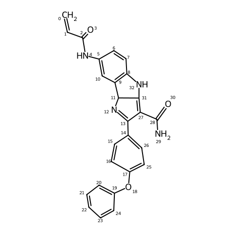 C=CC(=O)Nc1ccc2c(c1)C1N=C(c3ccc(Oc4ccccc4)cc3)C(C(N)=O)=C1N2